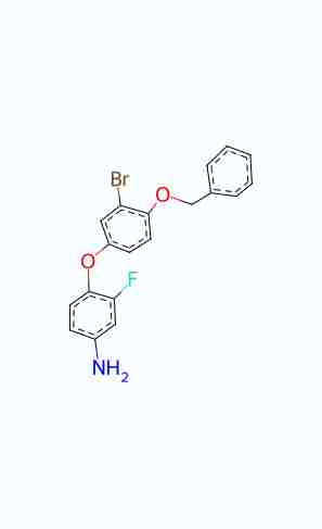 Nc1ccc(Oc2ccc(OCc3ccccc3)c(Br)c2)c(F)c1